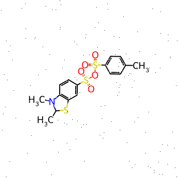 Cc1ccc(S(=O)(=O)OS(=O)(=O)c2ccc3c(c2)SC(C)N3C)cc1